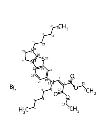 CCCCCCN(C=C(C(=O)OCC)C(=O)OCC)c1ccc2c(c1)sc1[n+]2CCN1CCCCCC.[Br-]